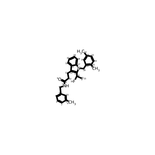 Cc1cccc(CNC(=O)CCc2c(C(F)F)n(Cc3cc(C)ccc3C)c3ccccc23)c1